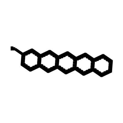 Brc1ccc2cc3cc4cc5ccccc5cc4cc3cc2c1